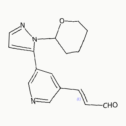 O=C/C=C/c1cncc(-c2ccnn2C2CCCCO2)c1